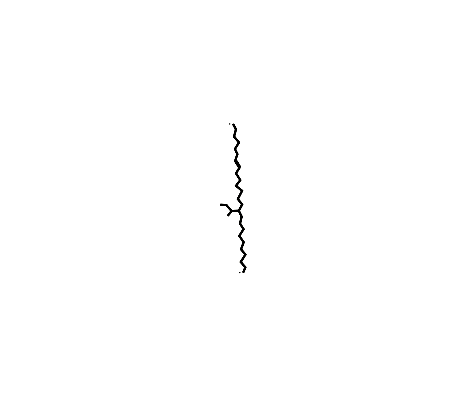 [CH2]CCCCCC=CCCCCCCC(CCCCCCCCC[CH2])C(C)CC